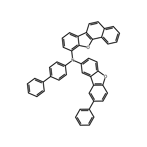 c1ccc(-c2ccc(N(c3ccc4oc5ccc(-c6ccccc6)cc5c4c3)c3cccc4c3oc3c5ccccc5ccc43)cc2)cc1